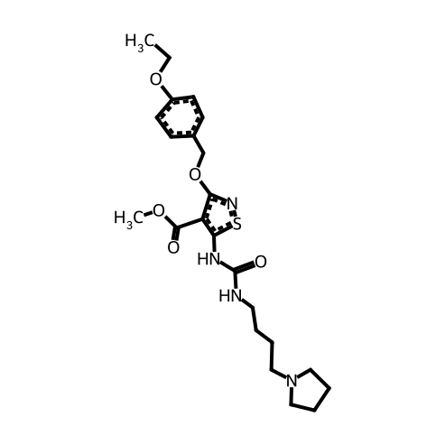 CCOc1ccc(COc2nsc(NC(=O)NCCCCN3CCCC3)c2C(=O)OC)cc1